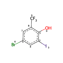 Oc1c(I)cc(Br)cc1C(F)(F)F